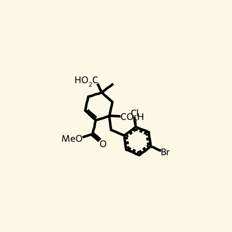 COC(=O)C1=CCC(C)(C(=O)O)CC1(Cc1ccc(Br)cc1Cl)C(=O)O